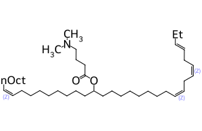 CCC=CC/C=C\C/C=C\CCCCCCCCC(CCCCCCCC/C=C\CCCCCCCC)OC(=O)CCCN(C)C